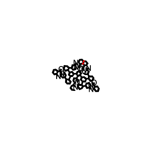 O=c1c2ccccc2nc2cc(-c3ccccc3-c3cc(-c4ccccc4-c4ccn5c(=O)c6ccccc6nc5c4)cc(-c4cccc(-c5cc(-c6ccccc6-c6ccn7c(=O)c8ccccc8nc7c6)cc(-c6ccccc6-c6ccn7c(=O)c8ccccc8nc7c6)c5)c4-c4ccc(-c5ccccn5)nc4)c3)ccn12